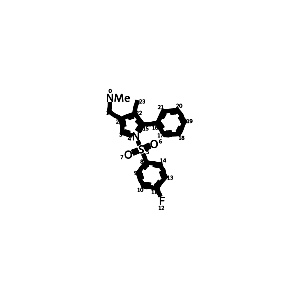 CNCc1cn(S(=O)(=O)c2ccc(F)cc2)c(-c2ccccc2)c1C